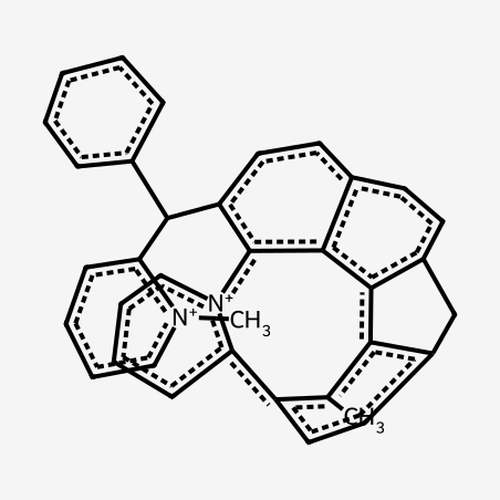 Cc1c2ccc3c1c1c(ccc4ccc(C(c5ccccc5)c5cccc[n+]5C)c(c41)[n+]1ccccc21)C3